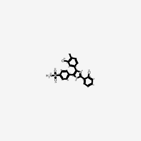 Cc1ccc(-c2nc(-c3ccccc3Cl)sc2-c2ccc(S(N)(=O)=O)cc2)cc1Cl